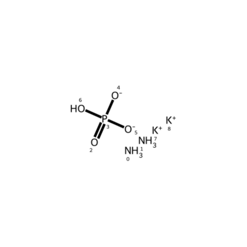 N.N.O=P([O-])([O-])O.[K+].[K+]